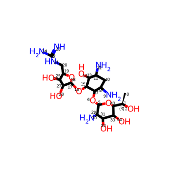 C[C@@H](O)C1OC(OC2C(N)CC(N)C(O)C2OC2OC(CNC(=N)N)C(O)C2O)C(N)C(O)C1O